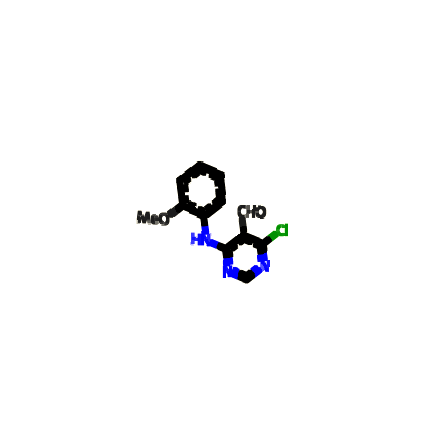 COc1ccccc1Nc1ncnc(Cl)c1C=O